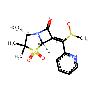 C[S+]([O-])/C(=C1\C(=O)N2[C@@H](C(=O)O)C(C)(C)S(=O)(=O)[C@H]12)c1ccccn1